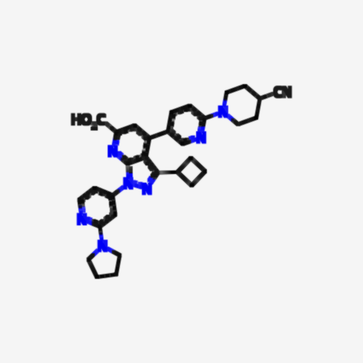 N#CC1CCN(c2ccc(-c3cc(C(=O)O)nc4c3c(C3CCC3)nn4-c3ccnc(N4CCCC4)c3)cn2)CC1